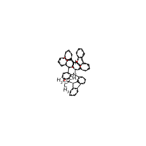 CC(C)(C)C1c2ccccc2-c2cccc(N(c3cccc(-c4ccccc4)c3)c3ccccc3-c3cc(-n4c5ccccc5c5ccccc54)cc4ccccc34)c21